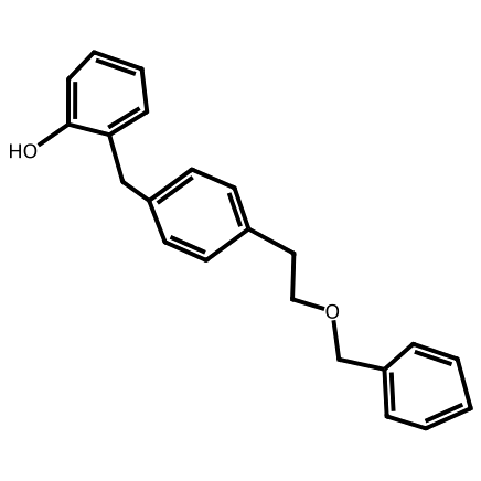 Oc1ccccc1Cc1ccc(CCOCc2ccccc2)cc1